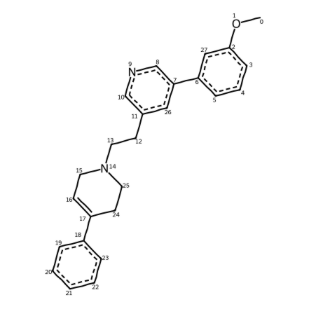 COc1cccc(-c2cncc(CCN3CC=C(c4ccccc4)CC3)c2)c1